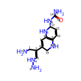 NC/C(=C\NN)C1=CC2=C(C=C[C@H](NC(N)=O)N2)NC1